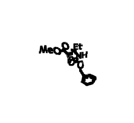 CCN(NC(=O)OCc1ccccc1)[C@H](C(=O)OC)C(C)C